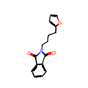 O=C1c2ccccc2C(=O)N1CCCCc1ccco1